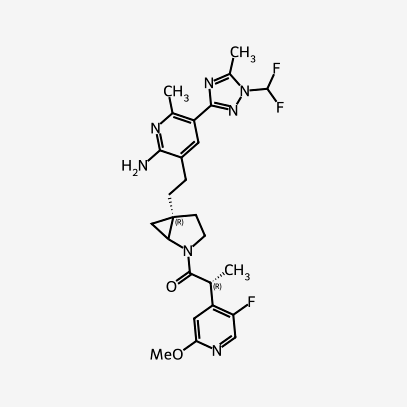 COc1cc([C@@H](C)C(=O)N2CC[C@]3(CCc4cc(-c5nc(C)n(C(F)F)n5)c(C)nc4N)CC23)c(F)cn1